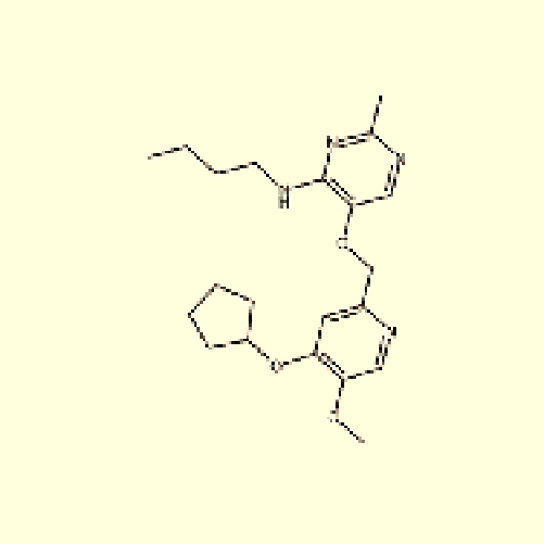 CCCCNc1nc(C)ncc1OCc1cc(OC2CCCC2)c(OC)cn1